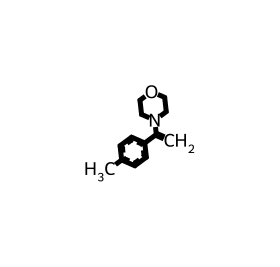 C=C(c1ccc(C)cc1)N1CCOCC1